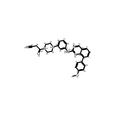 COc1ccc(-c2cccc3cnc(Nc4cccc(N5CCN(C(=O)CC#N)CC5)c4)nc23)cc1